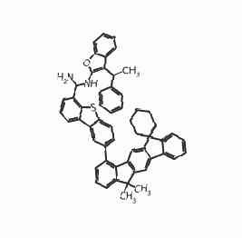 CC(c1ccccc1)c1c(NC(N)c2cccc3c2sc2ccc(-c4cccc5c4-c4cc6c(cc4C5(C)C)-c4ccccc4C64CCCCC4)cc23)oc2ccccc12